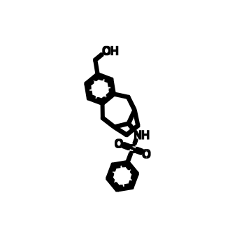 O=S(=O)(NC1C2CCC1Cc1cc(CO)ccc1C2)c1ccccc1